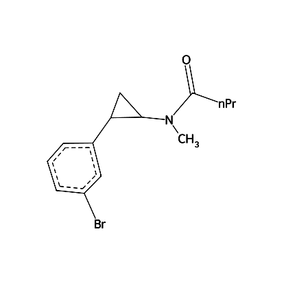 CCCC(=O)N(C)C1CC1c1cccc(Br)c1